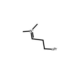 CCCCCC=[N+](C)C